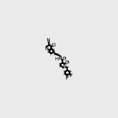 N#Cc1cnc2ccc(C#CCNC(=O)c3cccn(Cc4ccc(F)c(F)c4)c3=O)cc2c1Cl